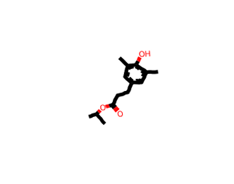 Cc1cc(CCC(=O)OC(C)C)cc(C)c1O